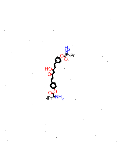 CC(C)[C@H](N)C(=O)Oc1ccc(C=CC(=O)C=C(O)C=Cc2ccc(OC(=O)[C@@H](N)C(C)C)cc2)cc1